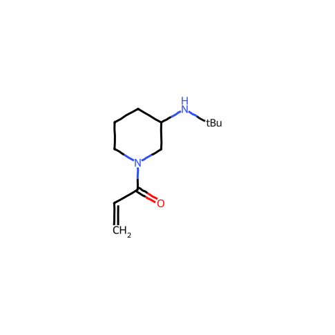 C=CC(=O)N1CCCC(NC(C)(C)C)C1